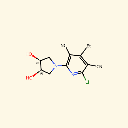 CCc1c(C#N)c(Cl)nc(N2C[C@@H](O)[C@@H](O)C2)c1C#N